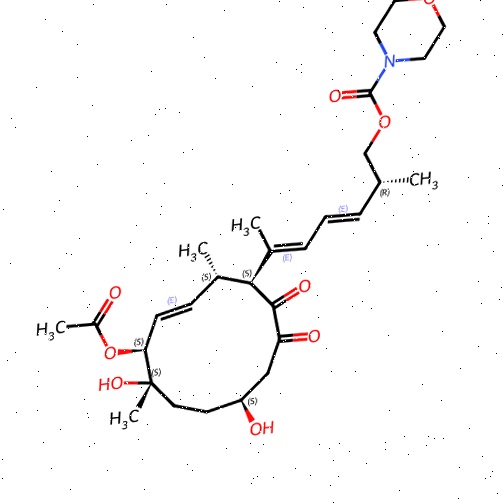 CC(=O)O[C@H]1/C=C/[C@H](C)[C@@H](/C(C)=C/C=C/[C@@H](C)COC(=O)N2CCOCC2)C(=O)C(=O)C[C@@H](O)CC[C@]1(C)O